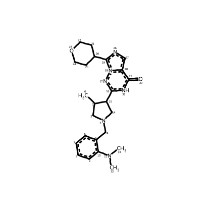 CC1CN(Cc2ccccc2N(C)C)CC1c1nn2c(C3CCOCC3)ncc2c(=O)[nH]1